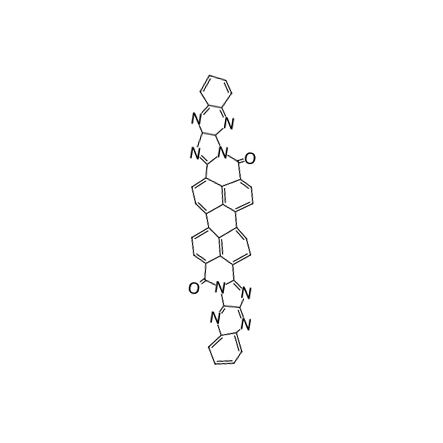 O=c1c2ccc3c4ccc5c6c(ccc(c7ccc(c8n1C1N=c9ccccc9=NC1N=8)c2c73)c46)c(=O)n1c2nc3ccccc3nc2nc51